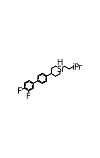 CC(C)CC[SiH]1CCC(c2ccc(-c3ccc(F)c(F)c3)cc2)CC1